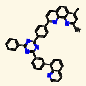 Cc1cc(C(C)C)nc2c1ccc1ccc(-c3ccc(-c4nc(-c5ccccc5)nc(-c5cccc(-c6cccc7cccnc67)c5)n4)cc3)nc12